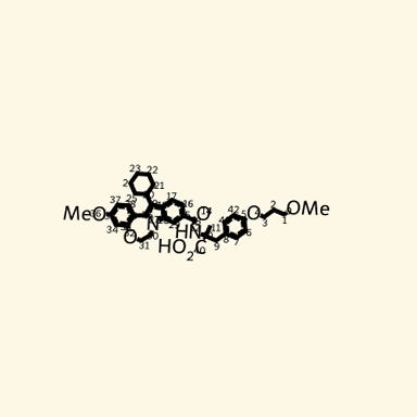 COCCCOc1ccc(C[C@](C)(NC(=O)c2ccc3c(C4CCCCC4)c4n(c3c2)CCOc2cc(OC)ccc2-4)C(=O)O)cc1